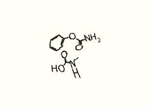 CNC(=O)O.NC(=O)Oc1ccccc1